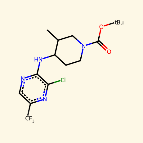 CC1CN(C(=O)OC(C)(C)C)CCC1Nc1ncc(C(F)(F)F)nc1Cl